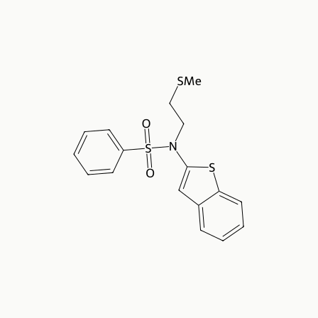 CSCCN(c1cc2ccccc2s1)S(=O)(=O)c1ccccc1